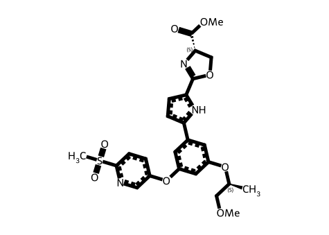 COC[C@H](C)Oc1cc(Oc2ccc(S(C)(=O)=O)nc2)cc(-c2ccc(C3=N[C@H](C(=O)OC)CO3)[nH]2)c1